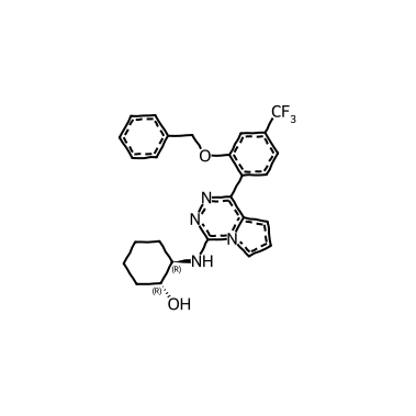 O[C@@H]1CCCC[C@H]1Nc1nnc(-c2ccc(C(F)(F)F)cc2OCc2ccccc2)c2cccn12